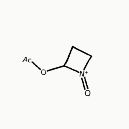 CC(=O)OC1CC[N+]1=O